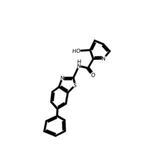 O=C(Nc1nc2ccc(-c3ccccc3)cc2s1)c1ncccc1O